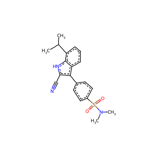 CC(C)c1cccc2c(-c3ccc(S(=O)(=O)N(C)C)cc3)c(C#N)[nH]c12